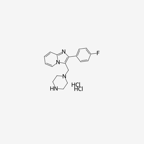 Cl.Cl.Fc1ccc(-c2nc3ccccn3c2CN2CCNCC2)cc1